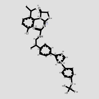 CC(C)c1ccc(Cl)cc1N1C(=O)CS/C1=N/C(=O)NCC(C)c1ccc(-c2ncn(-c3ccc(OC(F)(F)F)cc3)n2)cc1